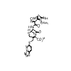 CON=C(C(=O)N[C@@H]1C(=O)N2C(C(=O)O)=C(CSc3ccc4nnnn4n3)CS[C@@H]12)c1csc(=N)n1OC